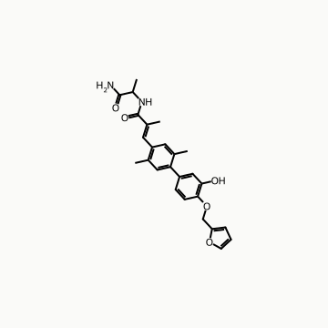 C/C(=C\c1cc(C)c(-c2ccc(OCc3ccco3)c(O)c2)cc1C)C(=O)NC(C)C(N)=O